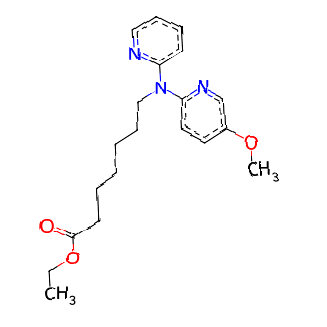 CCOC(=O)CCCCCCN(c1ccccn1)c1ccc(OC)cn1